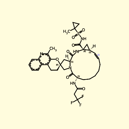 Cc1nc2ccccc2c2c1O[C@]1(CC2)C[C@H]2C(=O)N[C@]3(C(=O)NS(=O)(=O)C4(C)CC4)C[C@H]3/C=C\CCCCC[C@H](NC(=O)CC(F)(F)F)C(=O)N2C1